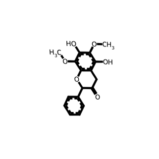 COc1c(O)c2c(c(OC)c1O)OC(c1ccccc1)C(=O)C2